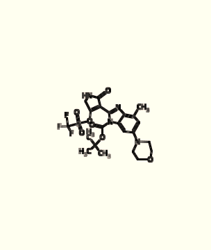 Cc1cc(N2CCOCC2)cc2c1nc(C1=C(OS(=O)(=O)C(F)(F)F)CNC1=O)n2C(=O)OC(C)(C)C